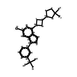 FC1(F)CCN(C2CN(c3nc(Cl)nc4c3cnn4-c3cccc(C(F)(F)F)c3)C2)C1